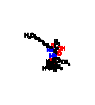 CCCCCCCCCC(=O)N[C@H](C(=O)N[C@@H](CC(C)C)B1O[C@@H]2C[C@@H]3C[C@@H](C3(C)C)[C@]2(C)O1)[C@@H](C)O